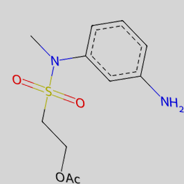 CC(=O)OCCS(=O)(=O)N(C)c1cccc(N)c1